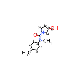 CC1CCC(N(C)C(=O)N2CCC(O)C2)CC1